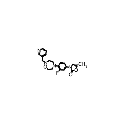 C[C@H]1CN(c2ccc(N3CCON(Cc4cccnc4)CC3)c(F)c2)C(=O)O1